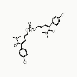 CN(C)C(=O)/C(=C\C=C\O[PH](=O)O/C=C/C=C(\C(=O)N(C)C)c1ccc(Cl)cc1)c1ccc(Cl)cc1